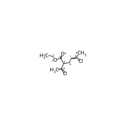 CCOC(=O)C(C/C=C(/C)Cl)C(C)=O